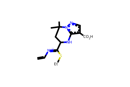 C=C/N=C(\SCC)C1CC(C)(C)n2ncc(C(=O)O)c2N1